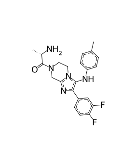 Cc1ccc(Nc2c(-c3ccc(F)c(F)c3)nc3n2CCN(C(=O)[C@H](C)N)C3)cc1